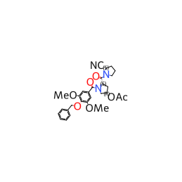 COc1cc(C(=O)N2C[C@H](OC(C)=O)C[C@H]2C(=O)N2CCC[C@H]2C#N)cc(OC)c1OCc1ccccc1